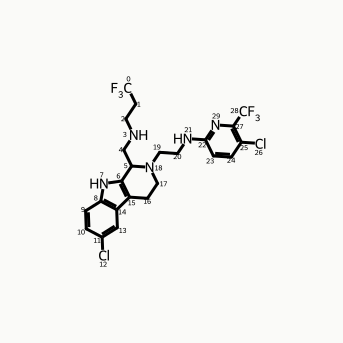 FC(F)(F)CCNCC1c2[nH]c3ccc(Cl)cc3c2CCN1CCNc1ccc(Cl)c(C(F)(F)F)n1